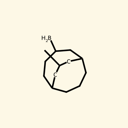 BC1CCC2CCCC(C1)CC(C)C2